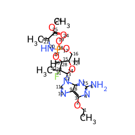 CCOc1nc(N)nc2c1ncn2[C@@H]1O[C@@H]2COP(=O)(NC(C)C(=O)OC)O[C@H]2[C@@]1(C)F